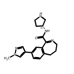 Cn1cc(-c2ccc3c(c2)C(C(=O)N[C@@H]2CCNC2)=NCCC3)cn1